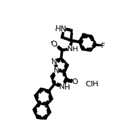 Cl.O=C(NC1(c2ccc(F)cc2)CNC1)c1cc2c(=O)[nH]c(-c3ccc4ccccc4c3)cn2n1